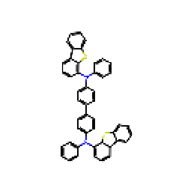 C1=CC2c3ccccc3SC2C(N(c2ccccc2)c2ccc(-c3ccc(N(c4ccccc4)c4cccc5c4sc4ccccc45)cc3)cc2)=C1